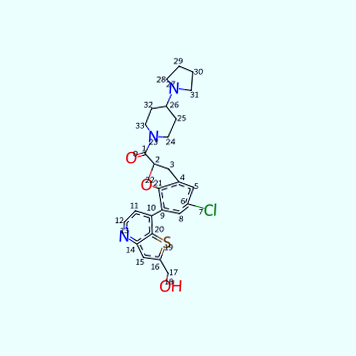 O=C(C1Cc2cc(Cl)cc(-c3ccnc4cc(CO)sc34)c2O1)N1CCC(N2CCCC2)CC1